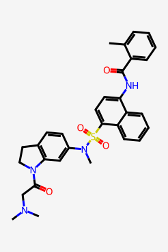 Cc1ccccc1C(=O)Nc1ccc(S(=O)(=O)N(C)c2ccc3c(c2)N(C(=O)CN(C)C)CC3)c2ccccc12